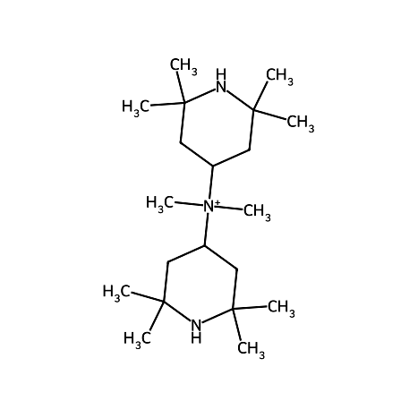 CC1(C)CC([N+](C)(C)C2CC(C)(C)NC(C)(C)C2)CC(C)(C)N1